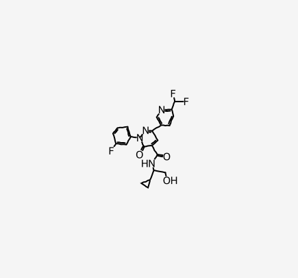 O=C(NC(CO)C1CC1)c1cc(-c2ccc(C(F)F)nc2)nn(-c2cccc(F)c2)c1=O